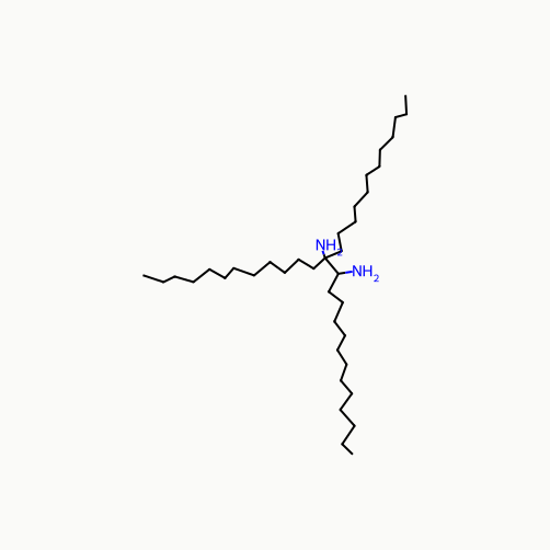 CCCCCCCCCCCCC(N)C(N)(CCCCCCCCCCCC)CCCCCCCCCCCC